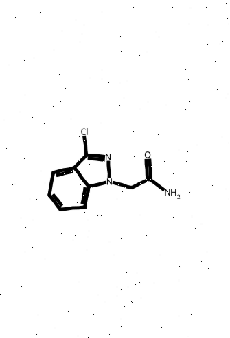 NC(=O)Cn1nc(Cl)c2ccccc21